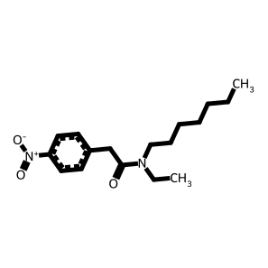 CCCCCCCN(CC)C(=O)Cc1ccc([N+](=O)[O-])cc1